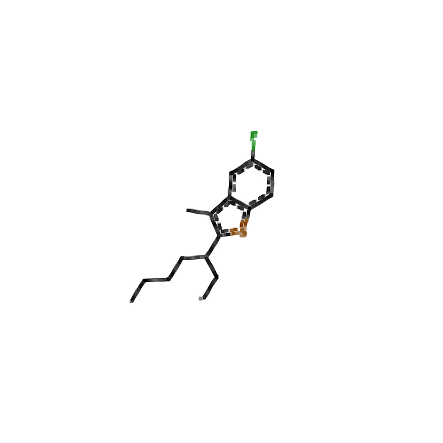 [CH2]CC(CCCC)c1sc2ccc(F)cc2c1C